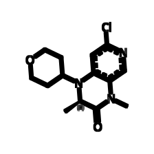 C[C@@H]1C(=O)N(C)c2cnc(Cl)cc2N1C1CCOCC1